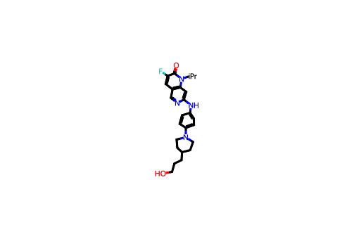 CC(C)n1c(=O)c(F)cc2cnc(Nc3ccc(N4CCC(CCCO)CC4)cc3)cc21